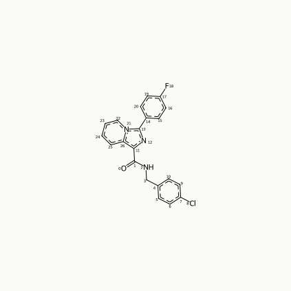 O=C(NCc1ccc(Cl)cc1)c1nc(-c2ccc(F)cc2)n2ccccc12